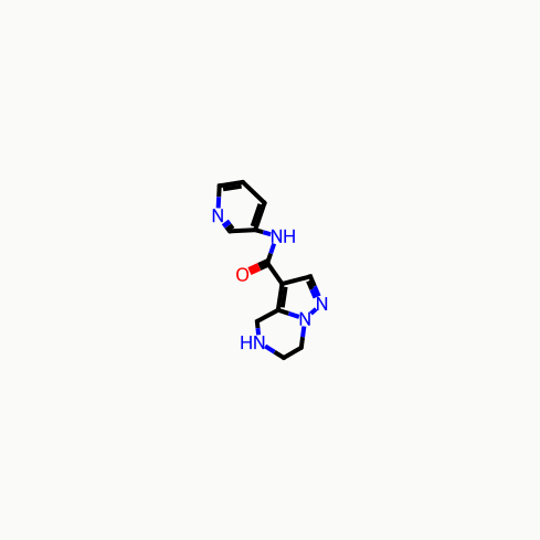 O=C(Nc1cccnc1)c1cnn2c1CNCC2